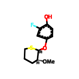 CO[C@@H]1CCCS[C@H]1Oc1ccc(O)c(F)c1